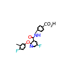 Cc1cc(Oc2ncc(F)cc2C(=O)NCc2ccc(C(=O)O)cc2)ccc1F